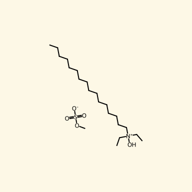 CCCCCCCCCCCCCCCC[N+](O)(CC)CC.COS(=O)(=O)[O-]